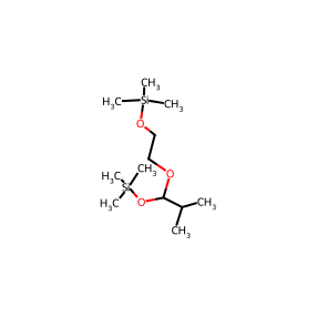 CC(C)C(OCCO[Si](C)(C)C)O[Si](C)(C)C